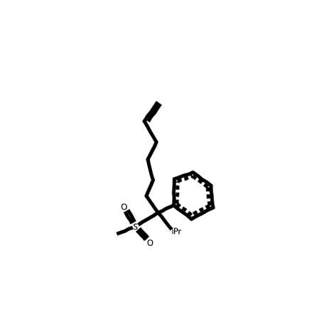 C=CCCCCC(c1ccccc1)(C(C)C)S(C)(=O)=O